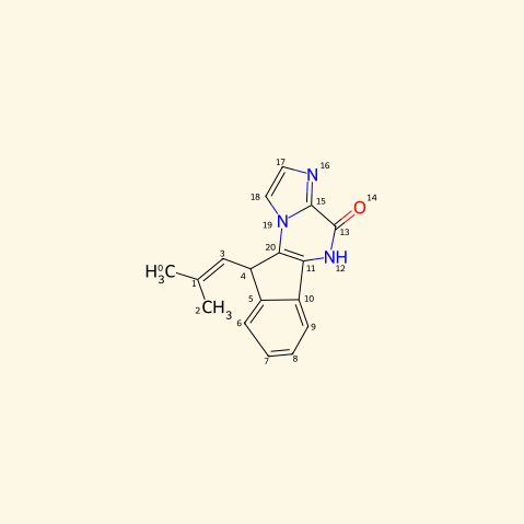 CC(C)=CC1c2ccccc2-c2[nH]c(=O)c3nccn3c21